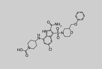 NC(=O)c1[nH]c2c(NC3CCN(C(=O)O)CC3)cc(Cl)cc2c1S(=O)(=O)N1CCOC(COc2ccccc2)C1